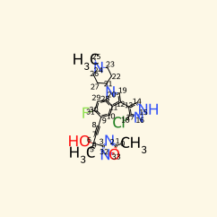 Cc1nc(C(C)(O)C#Cc2cc3c(-c4c[nH]nc4Cl)cn(C4CCN(C)CC4)c3cc2F)no1